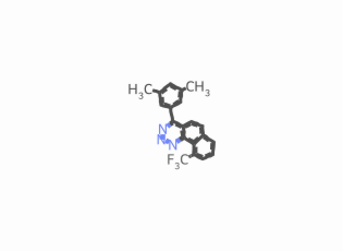 Cc1cc(C)cc(-c2nnnc3c2ccc2cccc(C(F)(F)F)c23)c1